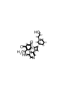 C[C@@H](Nc1cncc(N2CC([C@H]3CCCN(CCO)C3)C2)n1)c1ccc(Cl)cc1Cl